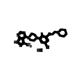 Cc1c(OCCN2CCCCC2)cc(Cl)cc1N1CCN(c2ncnc3[nH]nc(C(F)(F)F)c23)CC1.Cl